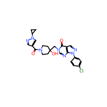 O=C(c1cnn(C2CC2)c1)N1CCC(O)(Cn2cnc3c(cnn3-c3ccc(Cl)cc3)c2=O)CC1